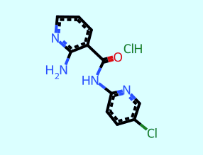 Cl.Nc1ncccc1C(=O)Nc1ccc(Cl)cn1